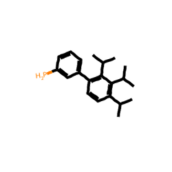 CC(C)c1ccc(-c2cccc(P)c2)c(C(C)C)c1C(C)C